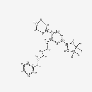 CC1(C)OB(c2cnc(N3CCOCC3)c(OCCCOCc3ccccc3)c2)OC1(C)C